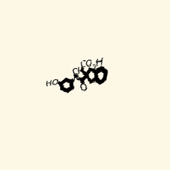 CN(C(=O)C1(CC(=O)O)Cc2ccccc2C1)c1cccc(O)c1